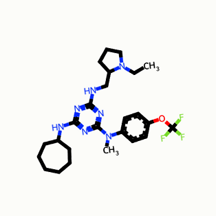 CCN1CCCC1CNc1nc(NC2CCCCCC2)nc(N(C)c2ccc(OC(F)(F)F)cc2)n1